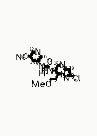 COCCc1c(NC(=O)Nc2cncc(C#N)c2)cnc2cc(Cl)nn12